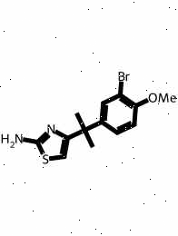 COc1ccc(C(C)(C)c2csc(N)n2)cc1Br